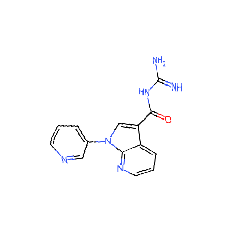 N=C(N)NC(=O)c1cn(-c2cccnc2)c2ncccc12